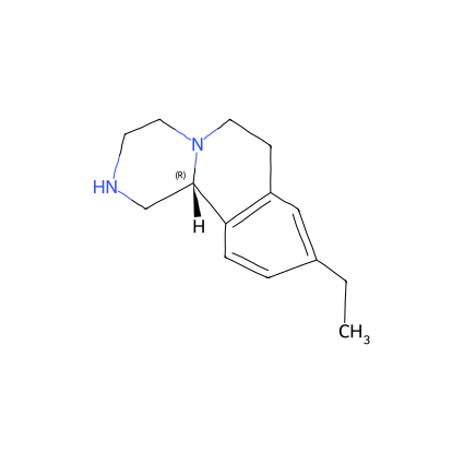 CCc1ccc2c(c1)CCN1CCNC[C@@H]21